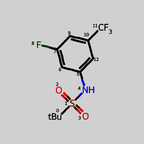 CC(C)(C)S(=O)(=O)Nc1cc(F)cc(C(F)(F)F)c1